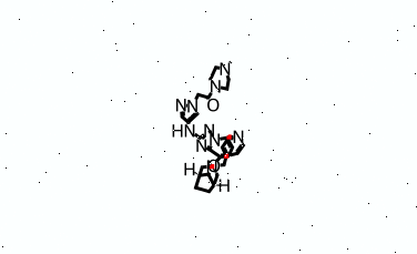 CN1CCN(C(=O)Cn2cc(Nc3nc4c(N5C[C@H]6CC[C@@H](C5)C6OCc5ccncc5)cccn4n3)cn2)CC1